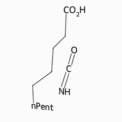 CCCCCCCCCC(=O)O.N=C=O